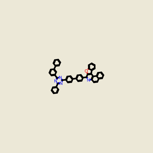 c1ccc(-c2cccc(-c3nc(-c4ccccc4)nc(-c4ccc(-c5ccc(-c6nc7ccc8ccccc8c7c7c6oc6ccccc67)cc5)cc4)n3)c2)cc1